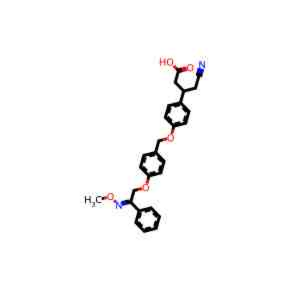 CO/N=C(\COc1ccc(COc2ccc(C(CC#N)CC(=O)O)cc2)cc1)c1ccccc1